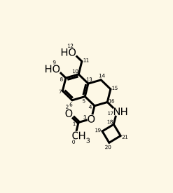 CC(=O)OC1c2ccc(O)c(CO)c2CCC1NC1CCC1